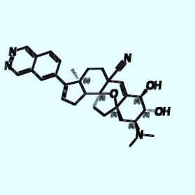 CN(C)[C@H]1C[C@@]23CC[C@]4(O2)C2CC=C(c5ccc6cnncc6c5)[C@@]2(C)CCC4(C#N)C=C3[C@@H](O)[C@@H]1O